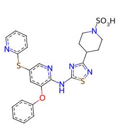 O=S(=O)(O)N1CCC(c2nsc(Nc3ncc(Sc4ccccn4)cc3Oc3ccccc3)n2)CC1